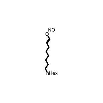 CCCCCCCCCCCC/C=C/ON=O